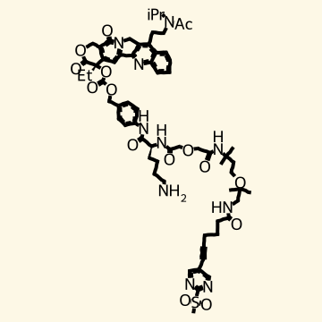 CC[C@@]1(OC(=O)OCc2ccc(NC(=O)[C@H](CCCCN)NC(=O)COCC(=O)NC(C)(C)CCOC(C)(C)CNC(=O)CCCC#Cc3cnc(S(C)(=O)=O)nc3)cc2)C(=O)OCc2c1cc1n(c2=O)Cc2c-1nc1ccccc1c2CCN(C(C)=O)C(C)C